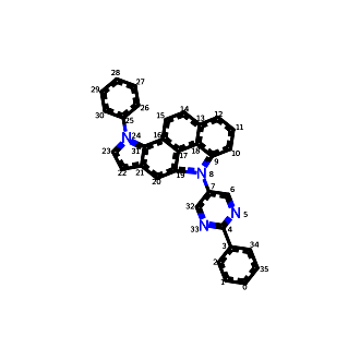 c1ccc(-c2ncc(-n3c4cccc5ccc6c(c54)c3cc3ccn(-c4ccccc4)c36)cn2)cc1